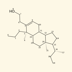 CCC[C@@]1(C)C(CCO)=CCC2C3CCC([C@H](C)CC)[C@@]3(C)CCC21